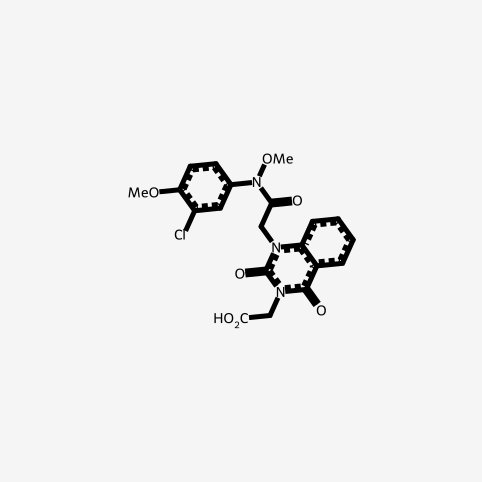 COc1ccc(N(OC)C(=O)Cn2c(=O)n(CC(=O)O)c(=O)c3ccccc32)cc1Cl